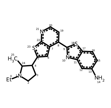 CCN1CCC(c2cc3c(-c4nc5cc(N)ccc5s4)ccnc3s2)C1C